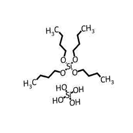 CCCCO[Si](OCCCC)(OCCCC)OCCCC.O[Si](O)(O)O